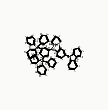 C1=CN2c3cc(-n4c5ccccc5c5ccccc54)ccc3N(c3cc([Si](c4ccccc4)(c4ccccc4)c4ccccc4)cc([Si](c4ccccc4)(c4ccccc4)c4ccccc4)c3)N2C=C1